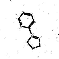 c1ccc(S2=NCCC2)nc1